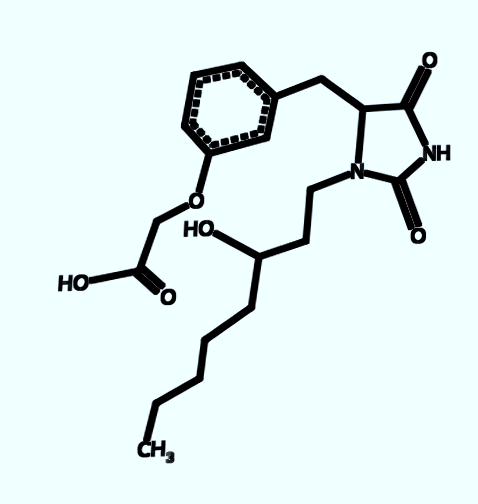 CCCCCC(O)CCN1C(=O)NC(=O)C1Cc1cccc(OCC(=O)O)c1